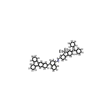 CCC1(CC)c2cc(/C=C/c3ccc(-c4ccc5cc(-c6ccccc6)c(-c6ccccc6)cc5c4)c4ccccc34)ccc2-c2ccc(N(c3ccccc3)c3ccccc3)cc21